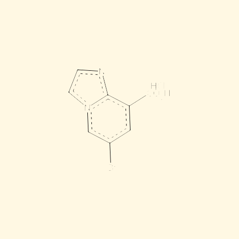 Cl.O=C(O)c1cc(Br)cn2ccnc12